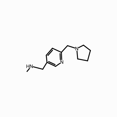 CNCc1ccc(CN2CCCC2)nc1